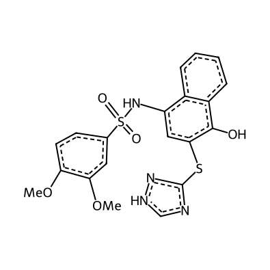 COc1ccc(S(=O)(=O)Nc2cc(Sc3nc[nH]n3)c(O)c3ccccc23)cc1OC